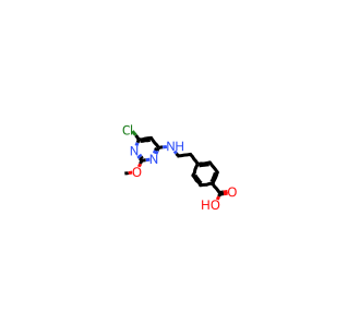 COc1nc(Cl)cc(NCCc2ccc(C(=O)O)cc2)n1